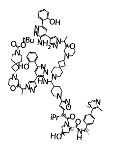 Cc1ncsc1-c1ccc([C@H](C)NC(=O)[C@@H]2C[C@@H](O)CN2C(=O)[C@@H](c2cc(N3CCC(C(Nc4nnc(-c5ccccc5O)cc4-c4cnn(C(C)[C@@H]5CN(C6CC7(CCN(C(=O)OC(C)(C)C)CC7)C6)CCO5)c4)N4CCC5(CC4)CC(N4CCO[C@H](C(C)n6cc(-c7cc(-c8ccccc8O)nnc7N)cn6)C4)C5)CC3)no2)C(C)C)cc1